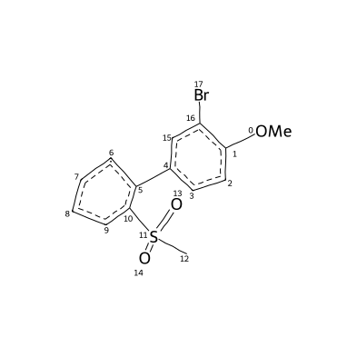 COc1ccc(-c2[c]cccc2S(C)(=O)=O)cc1Br